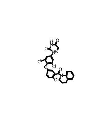 O=C(c1cc(Oc2c(Cl)cc(-n3ncc(=O)[nH]c3=O)cc2Cl)ccc1O)N1CCCc2ccccc21